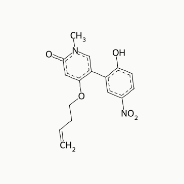 C=CCCOc1cc(=O)n(C)cc1-c1cc([N+](=O)[O-])ccc1O